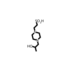 CC(O)CN1CCN(CCS(=O)(=O)O)CC1